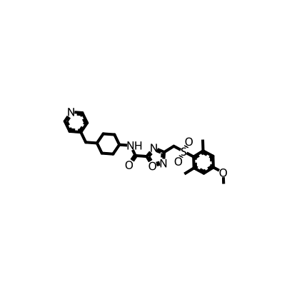 COc1cc(C)c(S(=O)(=O)Cc2noc(C(=O)NC3CCC(Cc4ccncc4)CC3)n2)c(C)c1